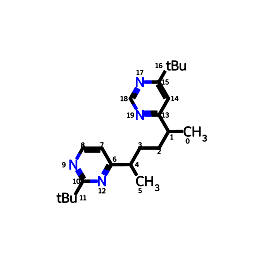 CC(CCC(C)c1ccnc(C(C)(C)C)n1)c1cc(C(C)(C)C)ncn1